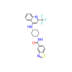 O=C(N[C@H]1CC[C@@H](Nc2cc(C(F)(F)F)nc3ccccc23)CC1)c1ccc2scnc2c1